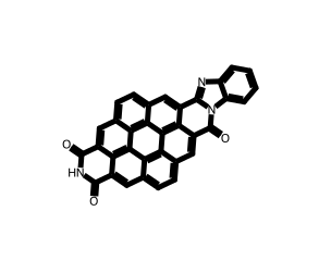 O=C1NC(=O)c2cc3ccc4cc5c6c(cc7ccc8cc1c2c1c8c7c6c4c31)c(=O)n1c2ccccc2nc51